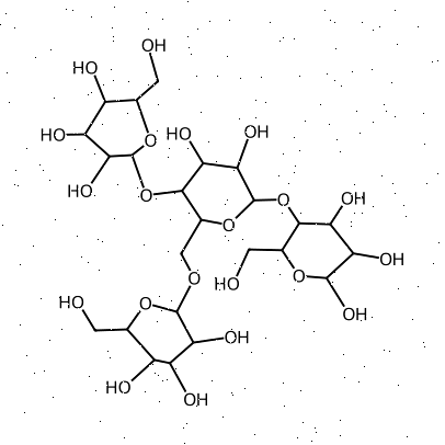 OCC1OC(OCC2OC(OC3C(CO)OC(O)C(O)C3O)C(O)C(O)C2OC2OC(CO)C(O)C(O)C2O)C(O)C(O)C1O